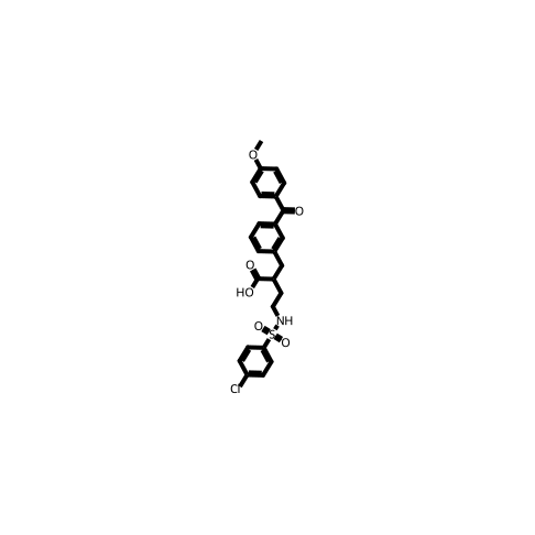 COc1ccc(C(=O)c2cccc(CC(CCNS(=O)(=O)c3ccc(Cl)cc3)C(=O)O)c2)cc1